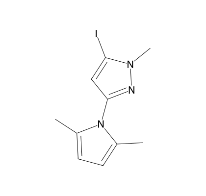 Cc1ccc(C)n1-c1cc(I)n(C)n1